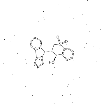 O=S1(=O)C[C@@H](C2c3ccccc3-c3cncn32)[C@H](O)c2ccccc21